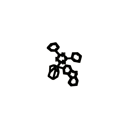 c1ccc(-c2nc(-c3ccccc3)nc(C3(c4ccc5sc6ccccc6c5c4)C4CC5CC(C4)CC3C5)n2)cc1